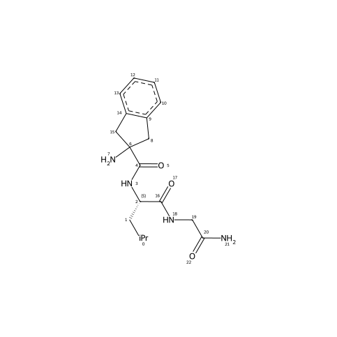 CC(C)C[C@H](NC(=O)C1(N)Cc2ccccc2C1)C(=O)NCC(N)=O